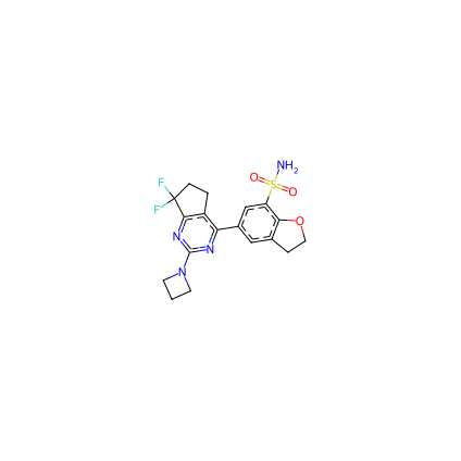 NS(=O)(=O)c1cc(-c2nc(N3CCC3)nc3c2CCC3(F)F)cc2c1OCC2